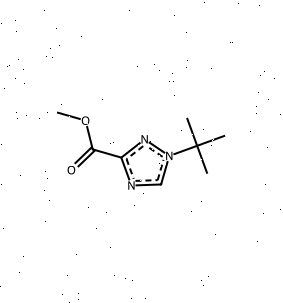 COC(=O)c1ncn(C(C)(C)C)n1